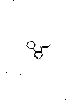 S=C=Nc1cnccc1C1CCCCC1